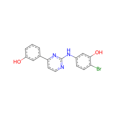 Oc1cccc(-c2ccnc(Nc3ccc(Br)c(O)c3)n2)c1